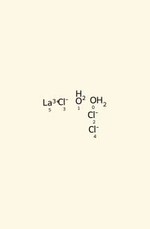 O.O.[Cl-].[Cl-].[Cl-].[La+3]